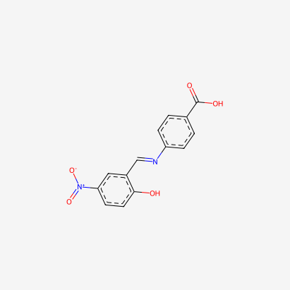 O=C(O)c1ccc(/N=C/c2cc([N+](=O)[O-])ccc2O)cc1